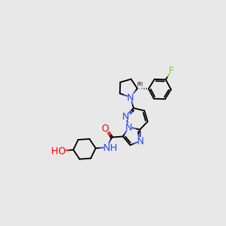 O=C(NC1CCC(O)CC1)c1cnc2ccc(N3CCC[C@@H]3c3cccc(F)c3)nn12